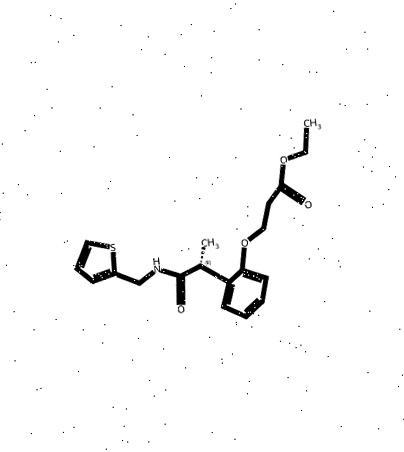 CCOC(=O)CCOc1ccccc1[C@@H](C)C(=O)NCc1cccs1